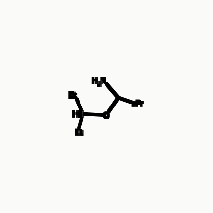 CCCC(N)O[SiH](CC)CC